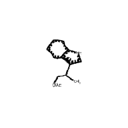 CC(=O)OCC(C)c1c[nH]c2ccccc12